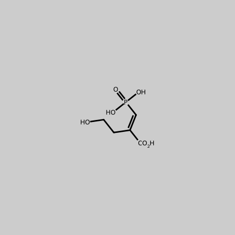 O=C(O)C(=CP(=O)(O)O)CCO